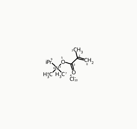 C=C(C)C(=O)O[N+](C)(C)C(C)C.[Cl-]